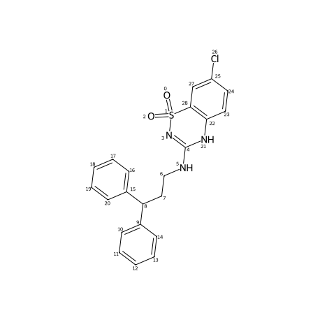 O=S1(=O)N=C(NCCC(c2ccccc2)c2ccccc2)Nc2ccc(Cl)cc21